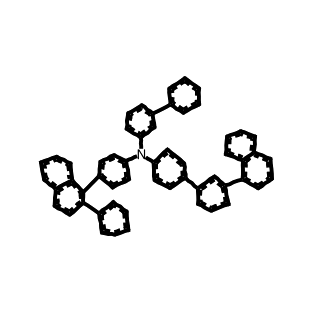 c1ccc(-c2cccc(N(c3ccc(-c4cccc(-c5cccc6ccccc56)c4)cc3)c3ccc(-c4c(-c5ccccc5)ccc5ccccc45)cc3)c2)cc1